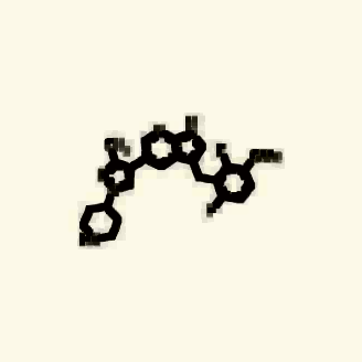 COc1ccc(F)c(Cc2c[nH]c3ncc(-c4cn(C5CCNCC5)nc4C)cc23)c1F